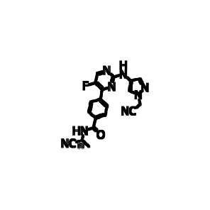 C[C@@H](C#N)NC(=O)c1ccc(-c2nc(Nc3cnn(CC#N)c3)ncc2F)cc1